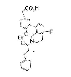 CCOc1ccc(CC(=O)O)cc1-c1ccc(F)c2c1CN(C(=O)[C@@H](C)Cc1ccccc1)CC2